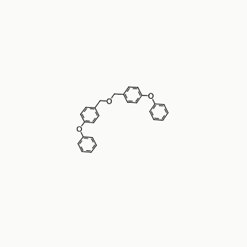 c1ccc(Oc2ccc(COCc3ccc(Oc4ccccc4)cc3)cc2)cc1